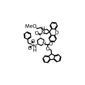 COCCCCC1(CNC(=O)[C@H]2C[C@@H](NS(=O)(=O)Cc3ccccc3)CN(C(=O)OCC3c4ccccc4-c4ccccc43)C2)c2ccccc2Oc2ccccc21